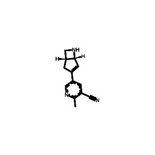 Cc1ncc(C2=C[C@H]3NC[C@H]3C2)cc1C#N